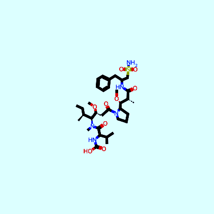 CC[C@H](C)[C@@H]([C@@H](CC(=O)N1CCCC1[C@H](OC)[C@@H](C)C(=O)NC(Cc1ccccc1)CS(N)(=O)=O)OC)N(C)C(=O)C(NC(=O)O)C(C)C